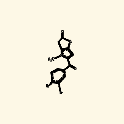 Cn1c(C(=O)c2ccc(Br)c(Br)c2)cc2c1CC(=O)O2